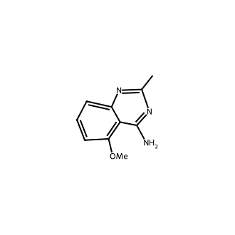 COc1cccc2nc(C)nc(N)c12